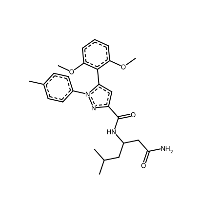 COc1cccc(OC)c1-c1cc(C(=O)NC(CC(N)=O)CC(C)C)nn1-c1ccc(C)cc1